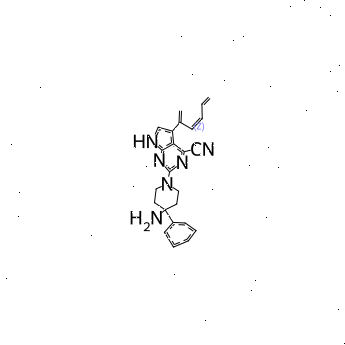 C=C/C=C\C(=C)c1c[nH]c2nc(N3CCC(N)(c4ccccc4)CC3)nc(C#N)c12